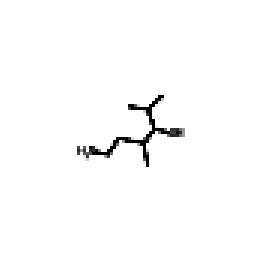 CC(C)C(O)C(C)CCN